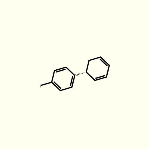 Ic1ccc([C@H]2C=CC=CC2)cc1